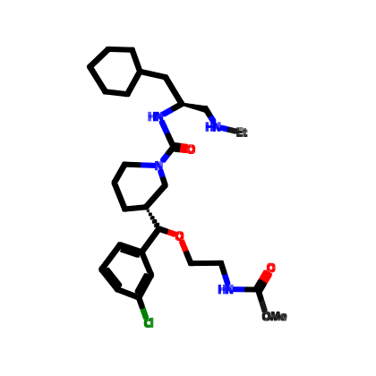 CCNC[C@H](CC1CCCCC1)NC(=O)N1CCC[C@@H](C(OCCNC(=O)OC)c2cccc(Cl)c2)C1